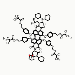 C=C(Cl)C(=O)OCCc1ccc(Oc2cc3c4c(cc(Oc5ccc(CCOC(=O)C(=C)Cl)cc5)c5c6c(Oc7ccc(CCOC(=O)C(=C)Cl)cc7)cc7c8c(cc(Oc9ccc(CCOC(=O)C(=C)Cl)cc9)c(c2c45)c86)C(=O)N(C(CC(F)(F)F)C(=O)N(C2CCCCC2)C2CCCCC2)C7=O)C(=O)N(C(CC(F)(F)F)C(=O)N(C2CCCCC2)C2CCCCC2)C3=O)cc1